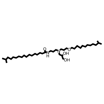 CC(C)CCCCCCCCCCCCCCC(=O)NCCCN(CCCOCCCCCCCCCCC(C)C)CC(O)CO